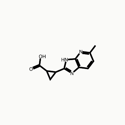 Cc1ccc2nc(C3CC3C(=O)O)[nH]c2n1